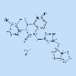 CC(C)c1ccc(N(Cc2cnn(CC3=CSC4=NCCN34)c2)C(=O)C2CCCc3c(O)cccc32)cn1.Cl.Cl